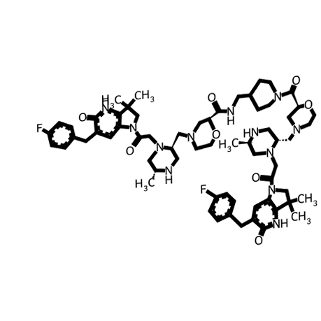 C[C@@H]1CN(CC(=O)N2CC(C)(C)c3[nH]c(=O)c(Cc4ccc(F)cc4)cc32)[C@@H](CN2CCO[C@H](C(=O)NCC3CCN(C(=O)[C@@H]4CN(C[C@H]5CN[C@H](C)CN5CC(=O)N5CC(C)(C)c6[nH]c(=O)c(Cc7ccc(F)cc7)cc65)CCO4)CC3)C2)CN1